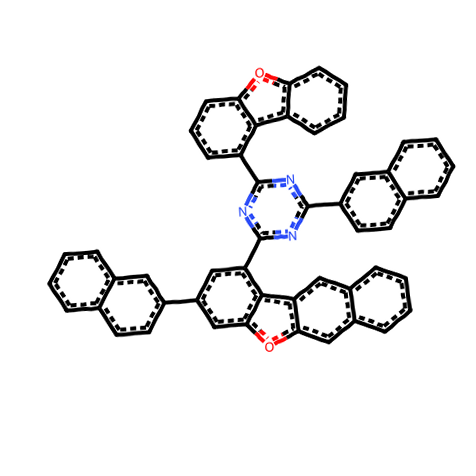 c1ccc2cc(-c3cc(-c4nc(-c5ccc6ccccc6c5)nc(-c5cccc6oc7ccccc7c56)n4)c4c(c3)oc3cc5ccccc5cc34)ccc2c1